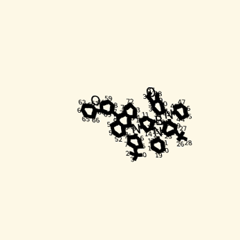 CC(C)(C)c1ccc(N(c2ccc3c(c2)N(c2ccccc2)c2cc(C(C)(C)C)cc4c2B3c2cc3cocc3cc2N4c2ccccc2)c2c3ccccc3c(-c3ccc4oc5ccccc5c4c3)c3ccccc23)cc1